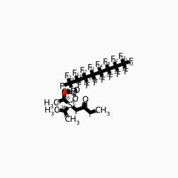 CCC(=O)CS(OS(=O)(=O)C(F)(F)C(F)(F)C(F)(F)C(F)(F)C(F)(F)C(F)(F)C(F)(F)C(F)(F)F)(C(C)C)C(C)C